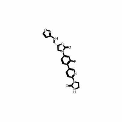 O=C1O[C@@H](CNc2ccon2)CN1c1ccc(-c2ccc(N3CCNC3=O)nc2)c(F)c1